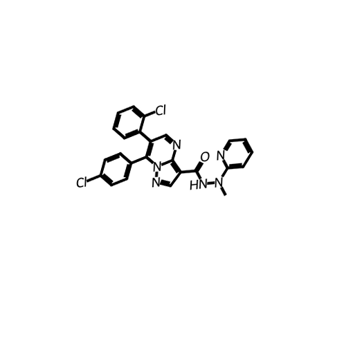 CN(NC(=O)c1cnn2c(-c3ccc(Cl)cc3)c(-c3ccccc3Cl)cnc12)c1ccccn1